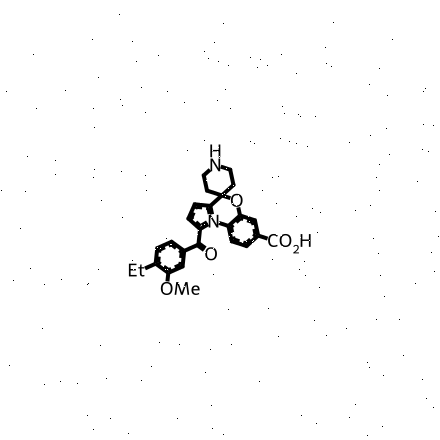 CCc1ccc(C(=O)c2ccc3n2-c2ccc(C(=O)O)cc2OC32CCNCC2)cc1OC